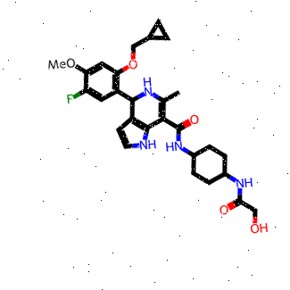 COc1cc(OCC2CC2)c(C2NC(C)=C(C(=O)NC3CCC(NC(=O)CO)CC3)c3[nH]ccc32)cc1F